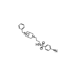 N#Cc1ccc(S(=O)(=O)NCCCN2CC3CN(Cc4ccccc4)CC(C2)O3)cc1